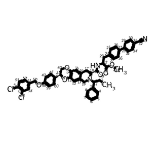 CCC(c1ccccc1)N1Cc2cc3c(cc2C[C@H]1C(=O)NC(Cc1ccc(-c2ccc(C#N)cc2)cc1)C(=O)OC)OC[C@H](c1ccc(OCc2ccc(Cl)c(Cl)c2)cc1)O3